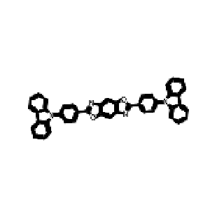 c1ccc2c(c1)c1ccccc1n2-c1ccc(-c2nc3cc4oc(-c5ccc(-n6c7ccccc7c7ccccc76)cc5)nc4cc3o2)cc1